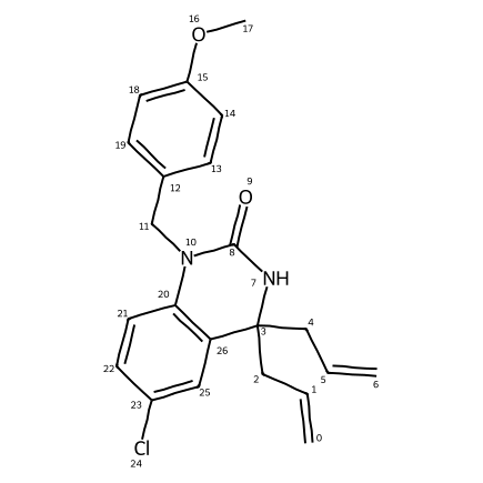 C=CCC1(CC=C)NC(=O)N(Cc2ccc(OC)cc2)c2ccc(Cl)cc21